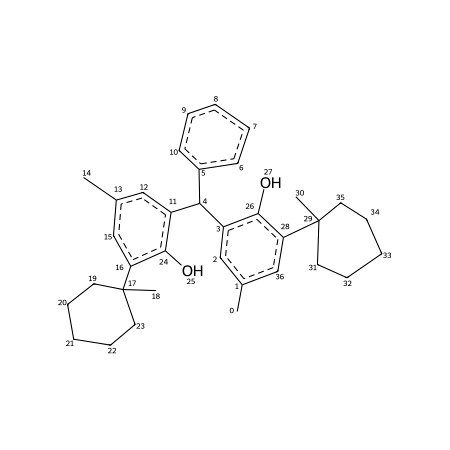 Cc1cc(C(c2ccccc2)c2cc(C)cc(C3(C)CCCCC3)c2O)c(O)c(C2(C)CCCCC2)c1